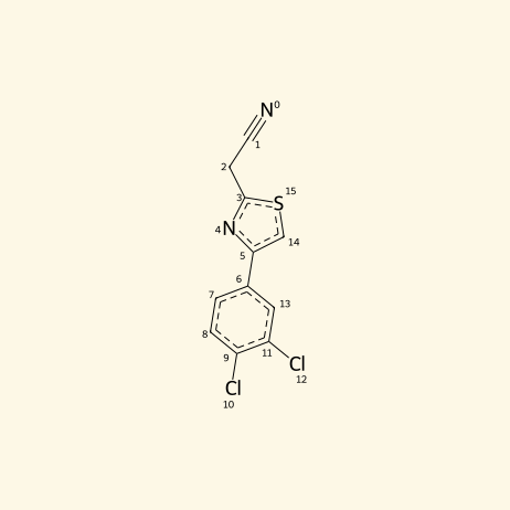 N#CCc1nc(-c2ccc(Cl)c(Cl)c2)cs1